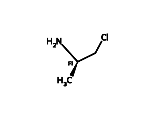 C[C@@H](N)CCl